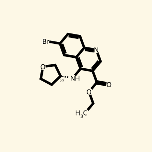 CCOC(=O)c1cnc2ccc(Br)cc2c1N[C@@H]1CCOC1